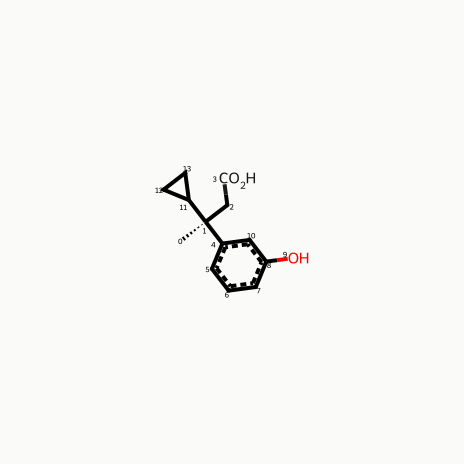 C[C@](CC(=O)O)(c1cccc(O)c1)C1CC1